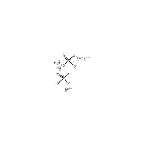 O=P([O-])([O-])[O-].O=P([O-])([O-])[O-].[Co+2].[Co+2].[Co+2].[NH4+].[OH-]